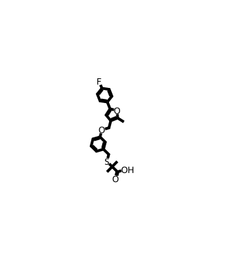 Cc1oc(-c2ccc(F)cc2)cc1COc1cccc(CSC(C)(C)C(=O)O)c1